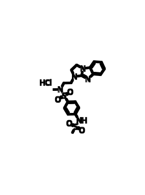 CN(CCN1CCn2c1nc1ccccc12)S(=O)(=O)c1ccc(NS(C)(=O)=O)cc1.Cl